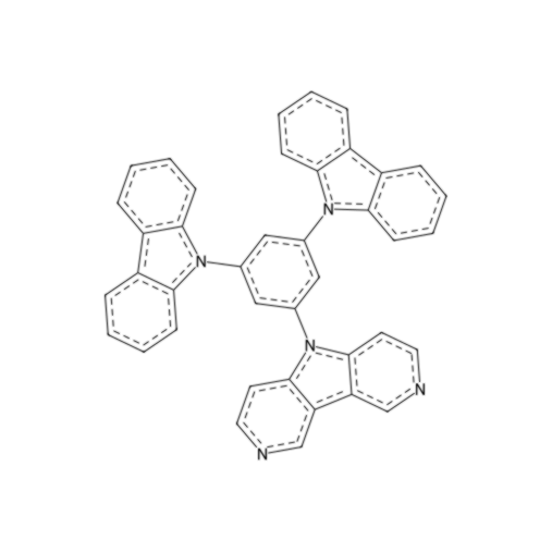 c1ccc2c(c1)c1ccccc1n2-c1cc(-n2c3ccccc3c3ccccc32)cc(-n2c3ccncc3c3cnccc32)c1